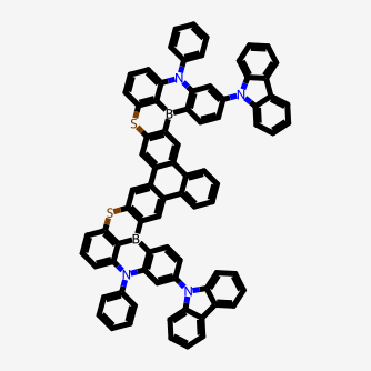 c1ccc(N2c3cc(-n4c5ccccc5c5ccccc54)ccc3B3c4cc5c6ccccc6c6cc7c(cc6c5cc4Sc4cccc2c43)Sc2cccc3c2B7c2ccc(-n4c5ccccc5c5ccccc54)cc2N3c2ccccc2)cc1